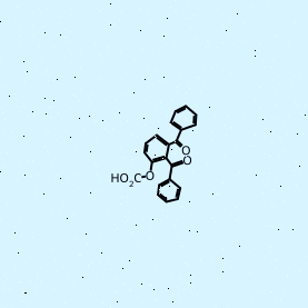 O=C(O)Oc1cccc(C(=O)c2ccccc2)c1C(=O)c1ccccc1